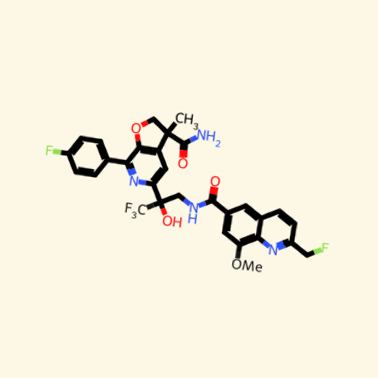 COc1cc(C(=O)NCC(O)(c2cc3c(c(-c4ccc(F)cc4)n2)OCC3(C)C(N)=O)C(F)(F)F)cc2ccc(CF)nc12